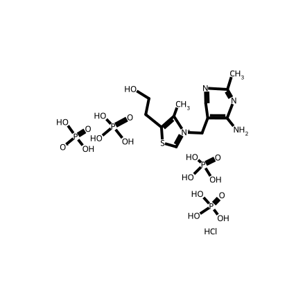 Cc1ncc(C[n+]2csc(CCO)c2C)c(N)n1.Cl.O=P(O)(O)O.O=P(O)(O)O.O=P(O)(O)O.O=P([O-])(O)O